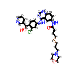 O=C(C=CCSCCCN1CCOCC1)Nc1ccc2ncnc(Nc3ccc(C(O)c4cccnc4)c(Cl)c3)c2c1